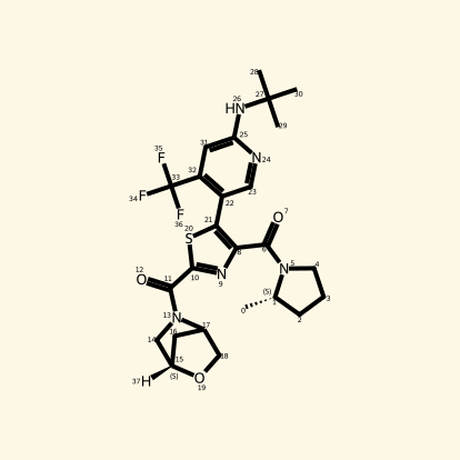 C[C@H]1CCCN1C(=O)c1nc(C(=O)N2C[C@@H]3CC2CO3)sc1-c1cnc(NC(C)(C)C)cc1C(F)(F)F